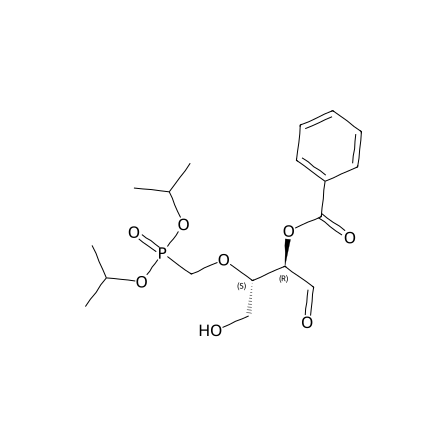 CC(C)OP(=O)(CO[C@@H](CO)[C@H](C=O)OC(=O)c1ccccc1)OC(C)C